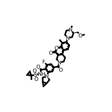 COC[C@H]1CN(c2ccc3c4c(c(=O)oc3c2C)CN(C(=O)c2cc(F)c(C(=O)NS(=O)(=O)C3(C)CC3)c(N3CC5CC5C3)c2)CC4)CCN1C